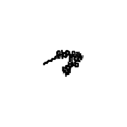 CCCCCCCCNC(=O)c1ccc2c(c1C)CC[C@@H]2NC(=O)c1cc(C(=O)NCc2ccc(F)c(C(F)(F)F)c2)nc2c(F)cnn12